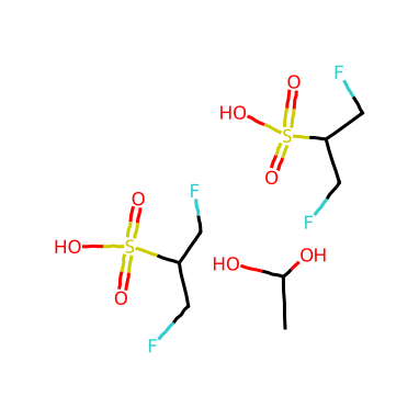 CC(O)O.O=S(=O)(O)C(CF)CF.O=S(=O)(O)C(CF)CF